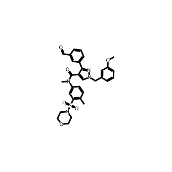 COc1cccc(Cn2cc(C(=O)N(C)c3ccc(C)c(S(=O)(=O)N4CCOCC4)c3)c(-c3cccc(C=O)c3)n2)c1